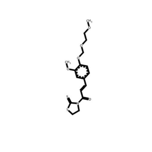 COCCOCOc1ccc(C=CC(=O)N2CCSC2=S)cc1OC